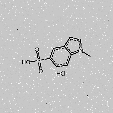 Cl.Cn1ccc2cc(S(=O)(=O)O)ccc21